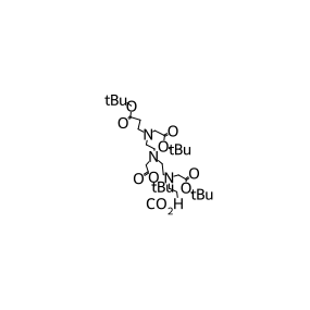 CC(C)(C)OC(=O)CCN(CCN(CCN(CCC(=O)O)CC(=O)OC(C)(C)C)CC(=O)OC(C)(C)C)CC(=O)OC(C)(C)C